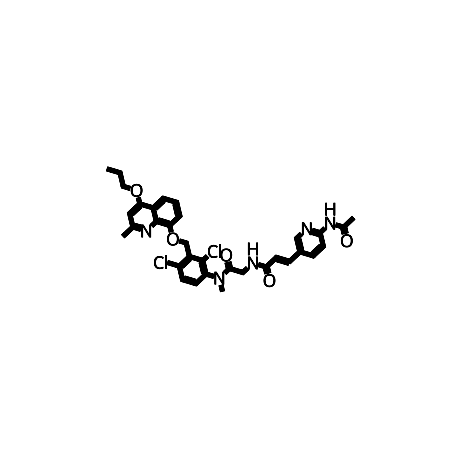 CCCOc1cc(C)nc2c(OCc3c(Cl)ccc(N(C)C(=O)CNC(=O)/C=C/c4ccc(NC(C)=O)nc4)c3Cl)cccc12